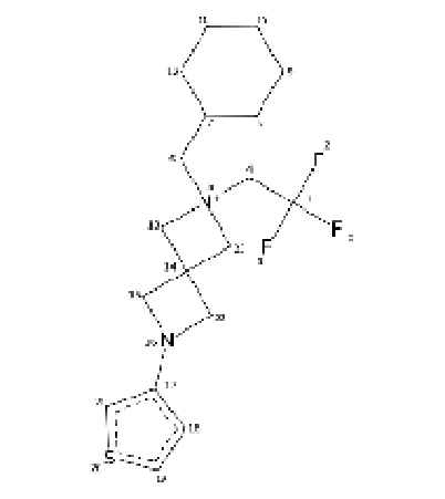 FC(F)(F)C[N+]1(CC2CCCCC2)CC2(CN(c3ccsc3)C2)C1